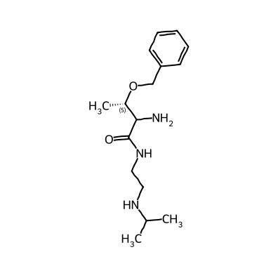 CC(C)NCCNC(=O)C(N)[C@H](C)OCc1ccccc1